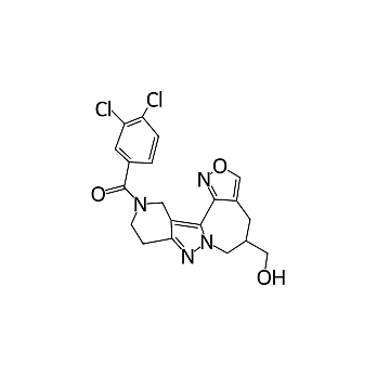 O=C(c1ccc(Cl)c(Cl)c1)N1CCc2nn3c(c2C1)-c1nocc1CC(CO)C3